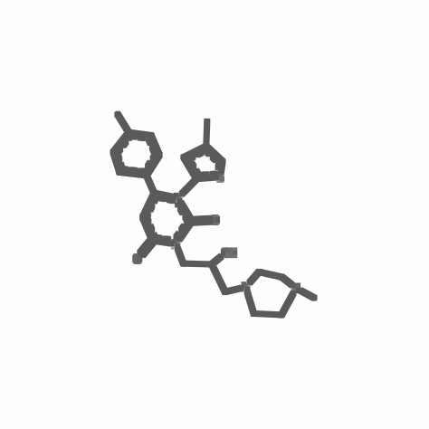 Cc1ccc(-c2cc(=O)n(CC(O)CN3CCN(C)CC3)c(=O)n2-c2cc(C)cs2)cc1